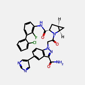 NC(=O)c1nn(CC(=O)N2[C@@H]3C[C@@H]3C[C@H]2C(=O)Nc2cccc(-c3ccccc3Cl)c2F)c2ccc(-c3cncnc3)cc12